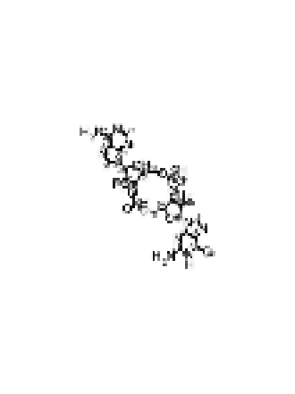 Nc1nc2c(ncn2[C@@H]2OC3CO[PH](=O)O[C@H]4[C@@H](F)[C@H](n5cnc6c(N)ncnc65)O[C@@H]4CO[P@](=O)(S)O[C@H]3[C@H]2F)c(=O)[nH]1